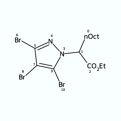 CCCCCCCCC(C(=O)OCC)n1nc(Br)c(Br)c1Br